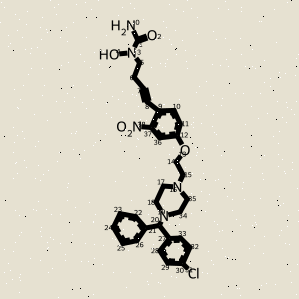 NC(=O)N(O)CCC#Cc1ccc(OCCN2CCN(C(c3ccccc3)c3ccc(Cl)cc3)CC2)cc1[N+](=O)[O-]